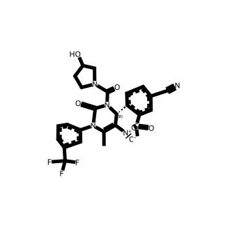 [C-]#[N+]C1=C(C)N(c2cccc(C(F)(F)F)c2)C(=O)N(C(=O)N2CCC(O)C2)[C@@H]1c1ccc(C#N)cc1S(C)(=O)=O